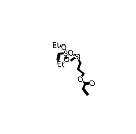 C=CC(=O)OCCC[Si](C)(C)O[Si](C=C)(OCC)OCC